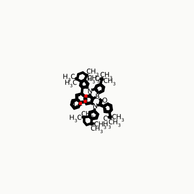 Cc1cc2c3c(c1)N(c1ccc4c(c1)C(C)(C)CCC4(C)C)c1c(oc4ccc(C(C)(C)C)cc14)B3c1ccc(C(C)(C)C)cc1N2c1cc2c(cc1-c1ccc3ccccc3c1)C(C)(C)CCC2(C)C